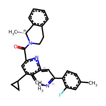 C=c1c(C2CC2)cc(C(=O)N2CCc3ccccc3[C@H]2C)n/c1=C/C(=N\C)c1ccc(C)cc1F